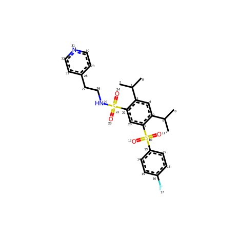 CC(C)c1cc(C(C)C)c(S(=O)(=O)c2ccc(F)cc2)cc1S(=O)(=O)NCCc1ccncc1